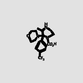 CC1NCCN(C(=O)O)C1(c1ccc(C(F)(F)F)cc1)N1CCOCC1